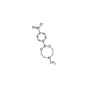 CN1CCOB(c2ccc([N+](=O)[O-])cc2)OCC1